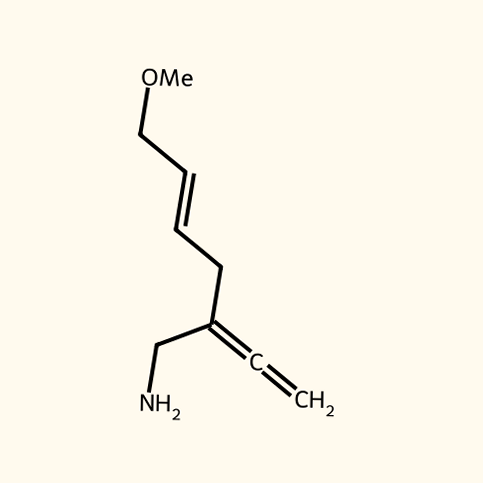 C=C=C(CN)C/C=C/COC